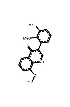 CCCOc1cccc2c(=O)c(-c3cccc(OC)c3OC)c[nH]c12